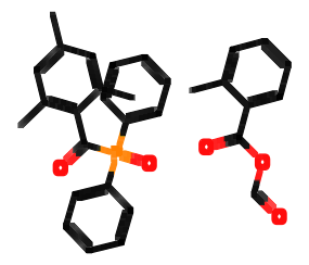 Cc1cc(C)c(C(=O)P(=O)(c2ccccc2)c2ccccc2)c(C)c1.Cc1ccccc1C(=O)OC=O